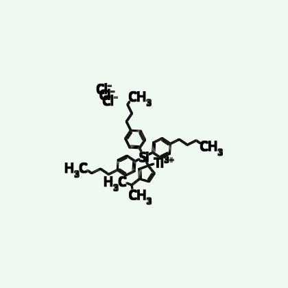 CCCCc1ccc([Si](c2ccc(CCCC)cc2)(c2ccc(CCCC)cc2)[C]2([Ti+3])C=CC(C(C)C)=C2)cc1.[Cl-].[Cl-].[Cl-]